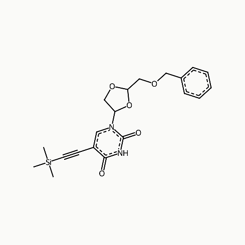 C[Si](C)(C)C#Cc1cn(C2COC(COCc3ccccc3)O2)c(=O)[nH]c1=O